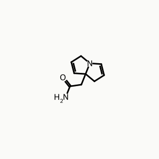 NC(=O)CC12C=CCN1C=CC2